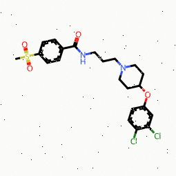 CS(=O)(=O)c1ccc(C(=O)NCCCN2CCC(Oc3ccc(Cl)c(Cl)c3)CC2)cc1